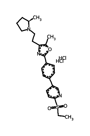 CCS(=O)(=O)c1ccc(-c2ccc(-c3nc(CCN4CCC[C@H]4C)c(C)o3)cc2)cn1.Cl.Cl